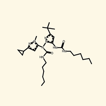 CCCCCCNC(=O)Nc1cc(C(C)(C)C)nn1N(C(=O)NCCCCCC)c1cc(C2CC2)nn1C